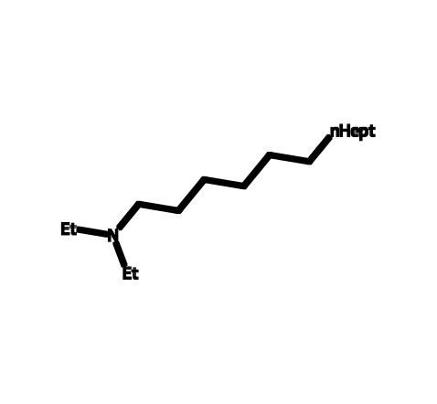 CCCCCCCCCCCCCN(CC)CC